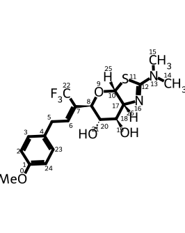 COc1ccc(CC=C([C@H]2O[C@@H]3SC(N(C)C)=N[C@@H]3[C@@H](O)[C@@H]2O)C(F)(F)F)cc1